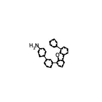 Nc1ccc(-c2cccc(-c3cccc4c3oc3c(-c5ccccc5)cccc34)c2)cc1